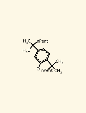 CCCCCC(C)(C)c1ccc(C(C)(C)CCCCC)c([O])c1